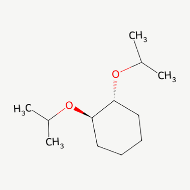 CC(C)O[C@@H]1CCCC[C@H]1OC(C)C